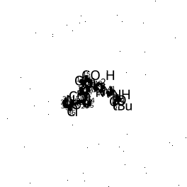 CC(C)(C)OC(=O)NC1CN(c2ccc(-n3cc(C(=O)O)c(=O)c4cc(Cl)c(N5CCCC5COc5ncccc5Cl)cc43)cn2)C1